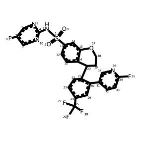 O=S(=O)(Nc1ncc(F)cn1)c1ccc2c(c1)OCCC2c1ccc(C(F)(F)F)cc1-c1ccc(F)nc1